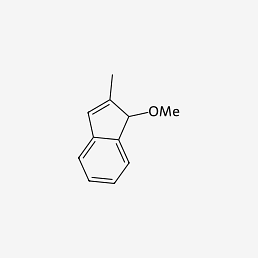 COC1C(C)=Cc2ccccc21